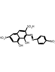 O=[N+]([O-])c1ccc(N=Nc2c(S(=O)(=O)O)cc3cc(S(=O)(=O)O)cc(O)c3c2O)cc1